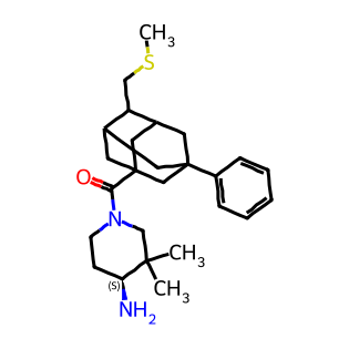 CSCC1C2CC3(C(=O)N4CC[C@H](N)C(C)(C)C4)CC1CC(c1ccccc1)(C2)C3